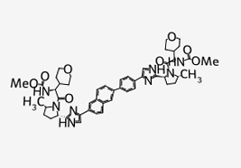 COC(=O)N[C@H](C(=O)N1[C@H](C)CC[C@H]1c1nc(-c2ccc(-c3ccc4cc(-c5c[nH]c([C@@H]6CC[C@@H](C)N6C(=O)[C@@H](NC(=O)OC)C6CCOCC6)n5)ccc4c3)cc2)c[nH]1)C1CCOCC1